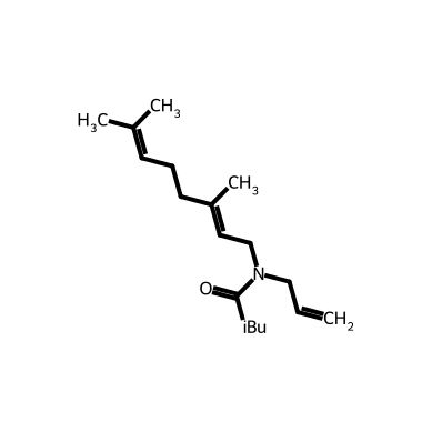 C=CCN(C/C=C(\C)CCC=C(C)C)C(=O)C(C)CC